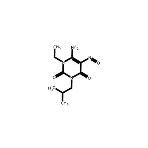 CCn1c(N)c(N=O)c(=O)n(CC(C)C)c1=O